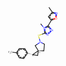 Cc1cc(-c2nnc(SN3CC[C@]4(C[C@@H]4c4ccc(C(F)(F)F)cc4)C3)n2C)on1